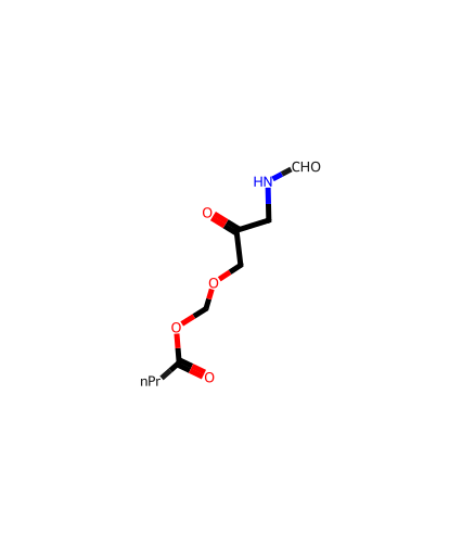 CCCC(=O)OCOCC(=O)CNC=O